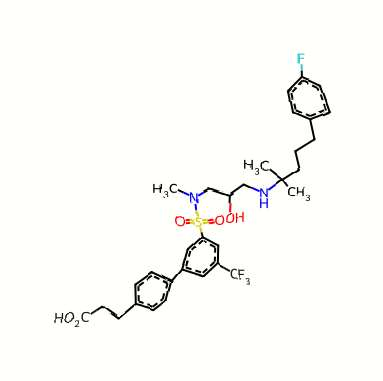 CN(CC(O)CNC(C)(C)CCCc1ccc(F)cc1)S(=O)(=O)c1cc(-c2ccc(CCC(=O)O)cc2)cc(C(F)(F)F)c1